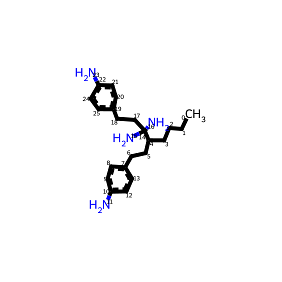 CCCCC(CCc1ccc(N)cc1)C(N)(N)CCc1ccc(N)cc1